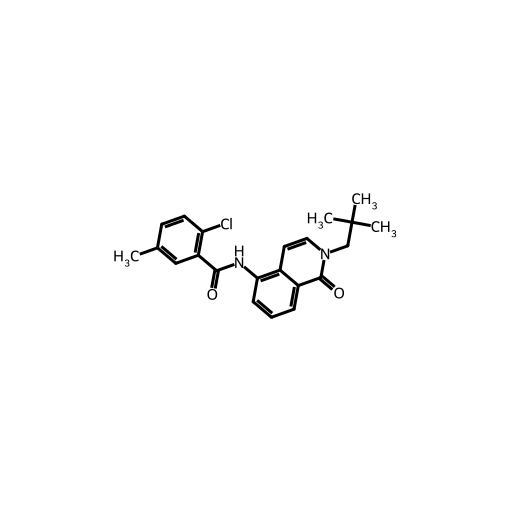 Cc1ccc(Cl)c(C(=O)Nc2cccc3c(=O)n(CC(C)(C)C)ccc23)c1